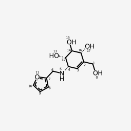 OCC1=C[C@H](NCc2ccco2)[C@H](O)C(O)[C@@H]1O